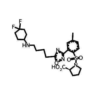 Cc1ccc(S(=O)(=O)N2CCC[C@H]2C(=O)O)c(-c2noc(CCCCNC3CCC(F)(F)CC3)n2)c1